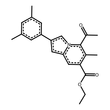 CCOC(=O)c1cc2cc(-c3cc(C)cc(C)c3)cn2c(C(C)=O)c1C